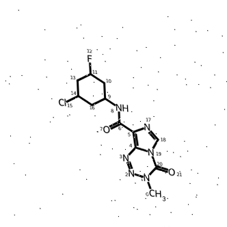 Cn1nnc2c(C(=O)NC3CC(F)CC(Cl)C3)ncn2c1=O